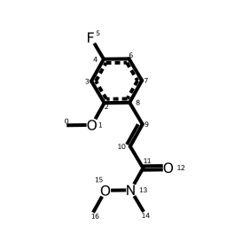 COc1cc(F)ccc1/C=C/C(=O)N(C)OC